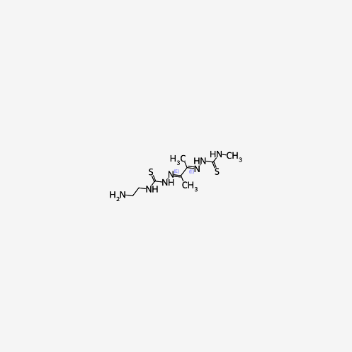 CNC(=S)N/N=C(C)/C(C)=N/NC(=S)NCCN